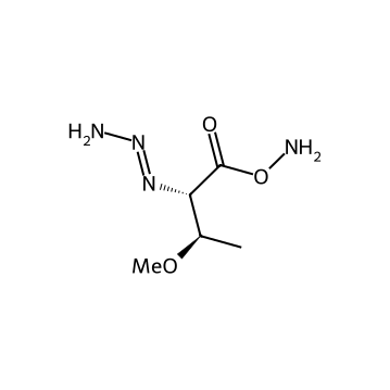 CO[C@H](C)[C@H](N=NN)C(=O)ON